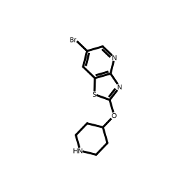 Brc1cnc2nc(OC3CCNCC3)sc2c1